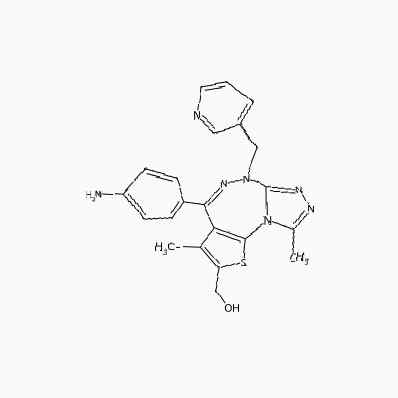 Cc1c(CO)sc2c1C(c1ccc(N)cc1)=NN(Cc1cccnc1)c1nnc(C)n1-2